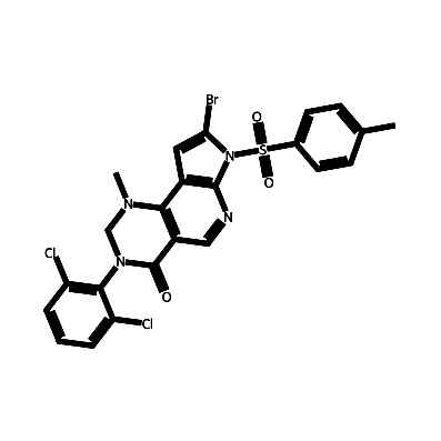 Cc1ccc(S(=O)(=O)n2c(Br)cc3c4c(cnc32)C(=O)N(c2c(Cl)cccc2Cl)CN4C)cc1